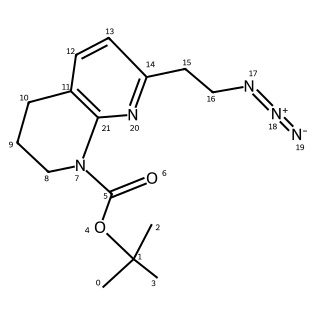 CC(C)(C)OC(=O)N1CCCc2ccc(CCN=[N+]=[N-])nc21